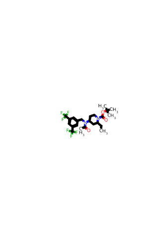 CCC1CC(N(Cc2cc(C(F)(F)F)cc(C(F)(F)F)c2)C(C)=O)CCN1C(=O)OC(C)(C)C